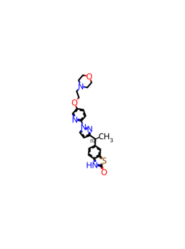 C[C@@H](c1ccc2[nH]c(=O)sc2c1)c1ccn(-c2ccc(OCCN3CCOCC3)cn2)n1